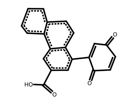 O=C1C=CC(=O)C(c2cc(C(=O)O)cc3c2ccc2ccccc23)=C1